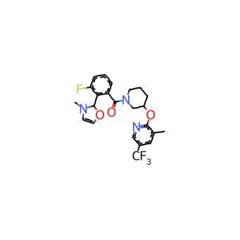 Cc1cc(C(F)(F)F)cnc1OC1CCCN(C(=O)c2cccc(F)c2C2OC=CN2C)C1